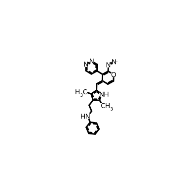 Cc1[nH]c(C=C2C=COC(N=[N])=C2c2ccnnc2)c(C)c1CCNc1ccccc1